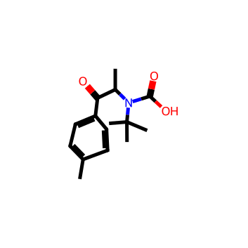 Cc1ccc(C(=O)C(C)N(C(=O)O)C(C)(C)C)cc1